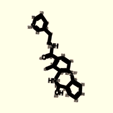 Cc1c(C(=O)NCCc2cccnc2)ccc2c1NC(O)c1ccccc1S2